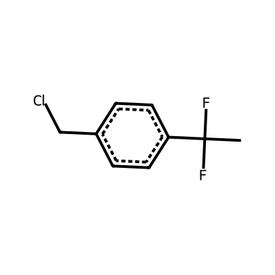 CC(F)(F)c1ccc(CCl)cc1